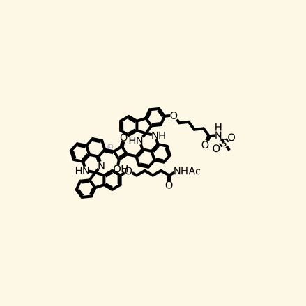 CC(=O)NC(=O)CCCCOc1ccc2c(c1)C1(N=c3/c(=C4/C(=O)C(c5ccc6cccc7c6c5NC5(N7)c6ccccc6-c6ccc(OCCCCC(=O)NS(C)(=O)=O)cc65)=C4O)ccc4cccc(c34)N1)c1ccccc1-2